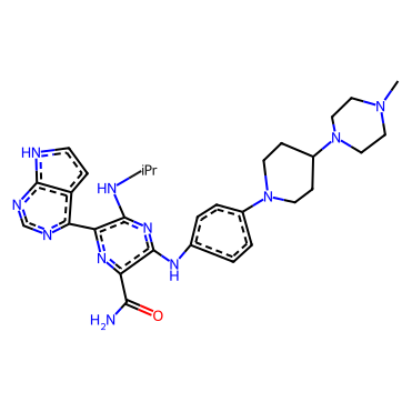 CC(C)Nc1nc(Nc2ccc(N3CCC(N4CCN(C)CC4)CC3)cc2)c(C(N)=O)nc1-c1ncnc2[nH]ccc12